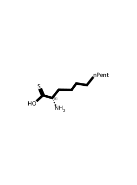 CCCCCCCCC[C@H](N)C(O)=S